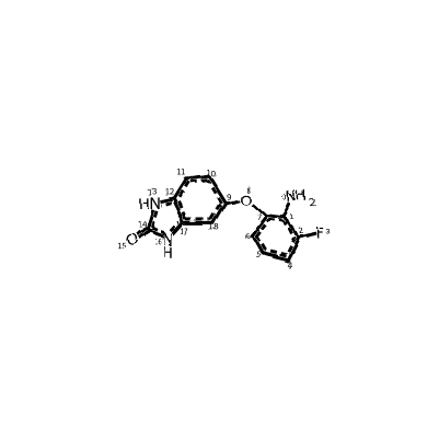 Nc1c(F)cccc1Oc1ccc2[nH]c(=O)[nH]c2c1